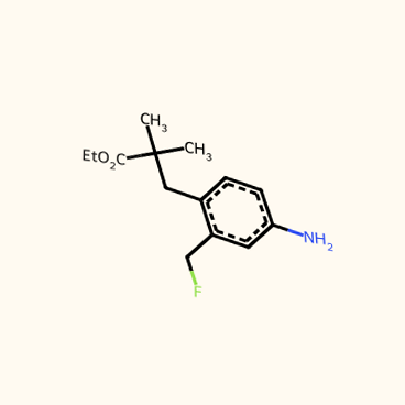 CCOC(=O)C(C)(C)Cc1ccc(N)cc1CF